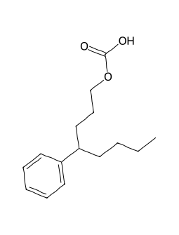 CCCCC(CCCOC(=O)O)c1ccccc1